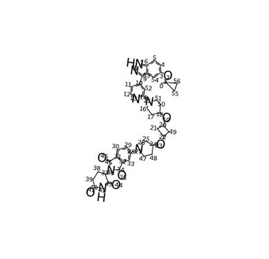 CC1(Oc2ccc3[nH]nc(-c4ccnc(N5CCC(OC6CC(OC7CCN(c8ccc9c(c8)C(=O)N(C8CCC(=O)NC8=O)C9=O)CC7)C6)CC5)c4)c3c2)CC1